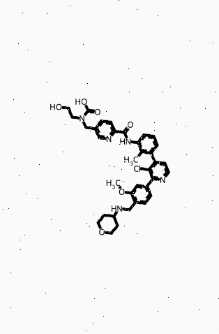 COc1cc(-c2nccc(-c3cccc(NC(=O)c4ccc(CN(CCO)C(=O)O)cn4)c3C)c2Cl)ccc1CNC1CCOCC1